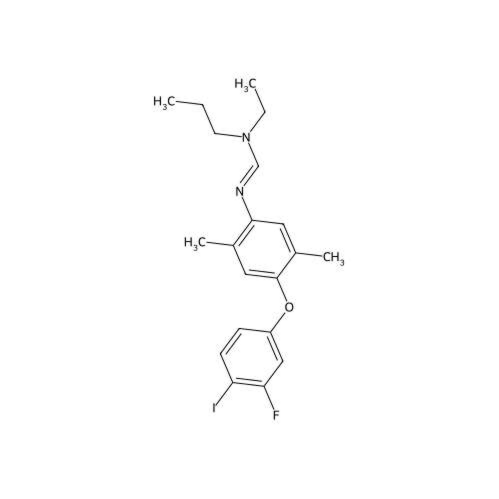 CCCN(/C=N/c1cc(C)c(Oc2ccc(I)c(F)c2)cc1C)CC